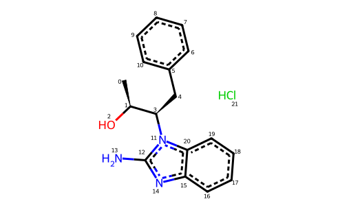 C[C@H](O)[C@@H](Cc1ccccc1)n1c(N)nc2ccccc21.Cl